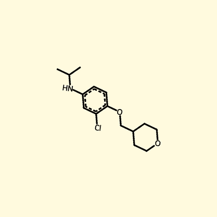 CC(C)Nc1ccc(OCC2CCOCC2)c(Cl)c1